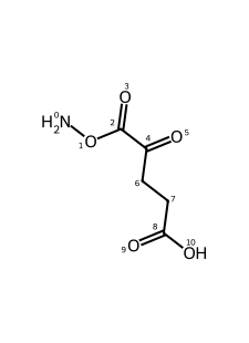 NOC(=O)C(=O)CCC(=O)O